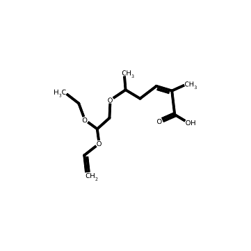 C=COC(COC(C)CC=C(C)C(=O)O)OCC